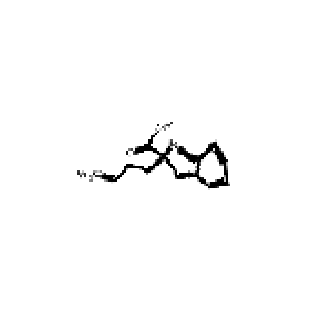 C=CCCC1(C(=O)O)C=c2ccccc2=N1